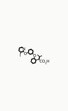 CC(C)=C(C(=O)O)c1ccccc1Oc1cccc(Oc2ncccc2I)c1